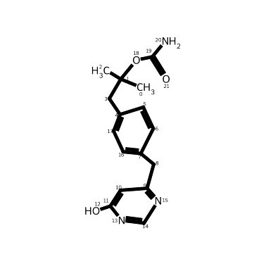 CC(C)(Cc1ccc(Cc2cc(O)ncn2)cc1)OC(N)=O